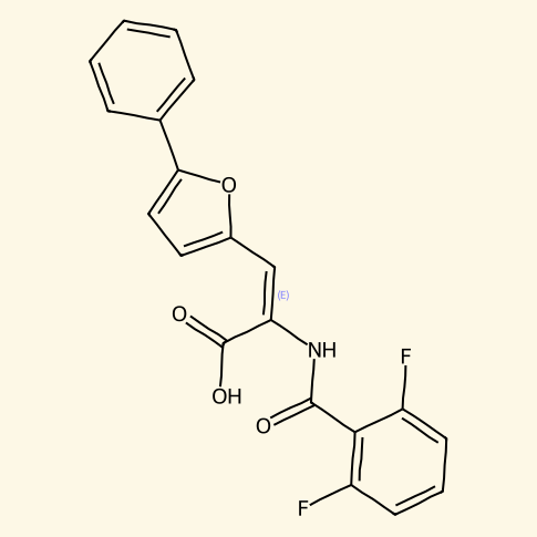 O=C(O)/C(=C\c1ccc(-c2ccccc2)o1)NC(=O)c1c(F)cccc1F